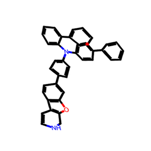 C1=Cc2c(oc3cc(-c4ccc(N(c5ccc(-c6ccccc6)cc5)c5ccccc5-c5ccccc5)cc4)ccc23)CN1